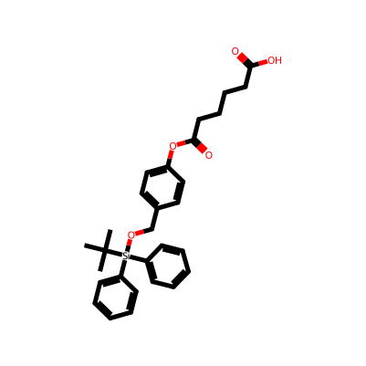 CC(C)(C)[Si](OCc1ccc(OC(=O)CCCCC(=O)O)cc1)(c1ccccc1)c1ccccc1